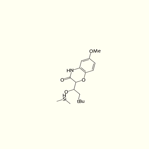 COc1ccc2c(c1)NC(=O)C(C(CC(C)(C)C)O[SiH](C)C)O2